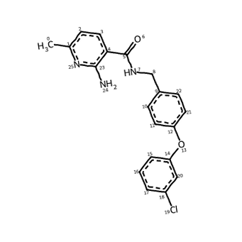 Cc1ccc(C(=O)NCc2ccc(Oc3cccc(Cl)c3)cc2)c(N)n1